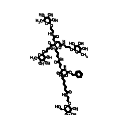 C[C@@H]1O[C@@H](OCCNC(=O)CN(CC(=O)NCCO[C@@H]2O[C@@H](C)[C@@H](O)[C@@H](O)[C@@H]2O)[C@@H](CCCCNC(=O)CC[C@H](NC(=O)OCc2ccccc2)C(=O)NCCCCCC(=O)NCCO[C@H]2O[C@H](CO)[C@@H](O)[C@H](O)[C@@H]2O)C(=O)NCCO[C@@H]2O[C@@H](C)[C@@H](O)[C@@H](O)[C@@H]2O)[C@@H](O)[C@H](O)[C@@H]1O